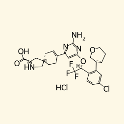 Cl.Nc1nc(O[C@H](c2ccc(Cl)cc2C2=CCCOC2)C(F)(F)F)cc(C2=CC[C@]3(CC2)CN[C@@H](C(=O)O)C3)n1